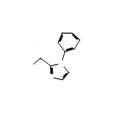 Cl.ClCc1nccn1-c1ccccc1